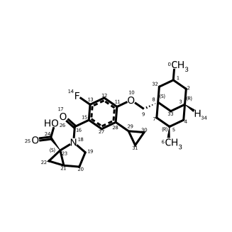 CC1C[C@@H]2C[C@@H](C)C[C@@](COc3cc(F)c(C(=O)N4CCC5C[C@@]54C(=O)O)cc3C3CC3)(C1)C2